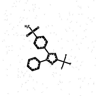 CS(=O)(=O)c1ccc(-c2cc(C(F)(F)F)nn2-c2ccccc2)cc1